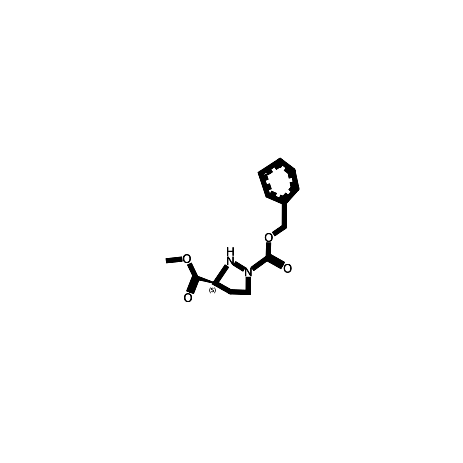 COC(=O)[C@@H]1CCN(C(=O)OCc2ccccc2)N1